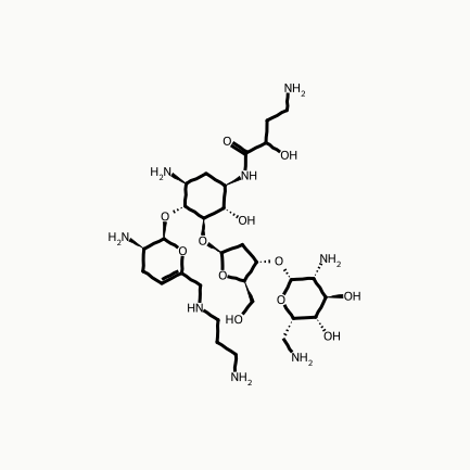 NCCCNCC1=CC[C@@H](N)[C@@H](O[C@H]2[C@H](O[C@H]3C[C@H](O[C@H]4O[C@@H](CN)[C@@H](O)[C@H](O)[C@H]4N)[C@@H](CO)O3)[C@@H](O)[C@H](NC(=O)C(O)CCN)C[C@@H]2N)O1